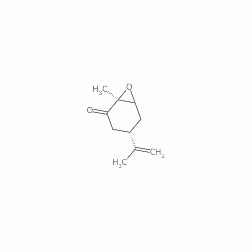 C=C(C)[C@@H]1CC(=O)[C@@]2(C)OC2C1